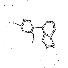 Fc1ccc(-c2cccc3s[c]cc23)c(F)c1